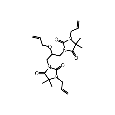 C=CCOC(CN1C(=O)N(CC=C)C(C)(C)C1=O)CN1C(=O)N(CC=C)C(C)(C)C1=O